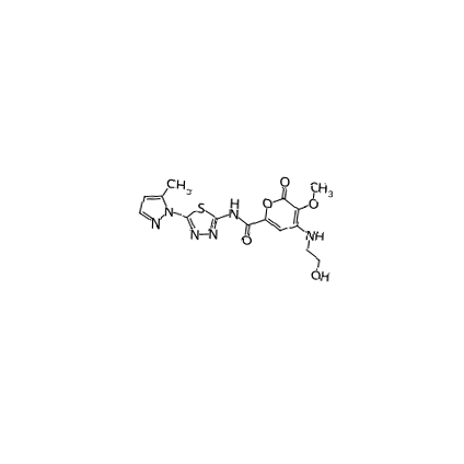 COc1c(NCCO)cc(C(=O)Nc2nnc(-n3nccc3C)s2)oc1=O